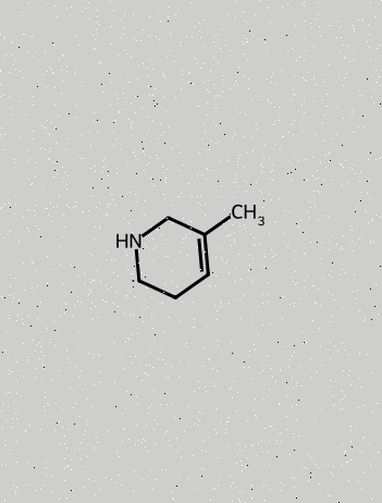 CC1=CC[CH]NC1